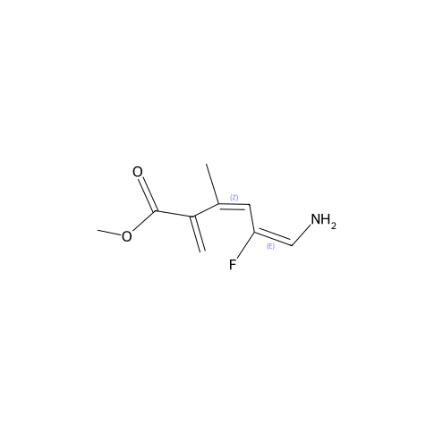 C=C(C(=O)OC)/C(C)=C\C(F)=C/N